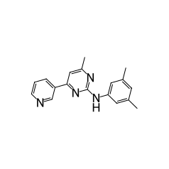 Cc1cc(C)cc(Nc2nc(C)cc(-c3cccnc3)n2)c1